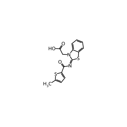 Cc1ccc(C(=O)/N=c2/sc3ccccc3n2CC(=O)O)s1